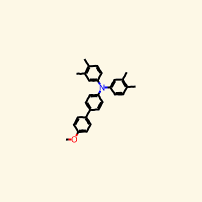 COc1ccc(-c2ccc(N(c3ccc(C)c(C)c3)c3ccc(C)c(C)c3)cc2)cc1